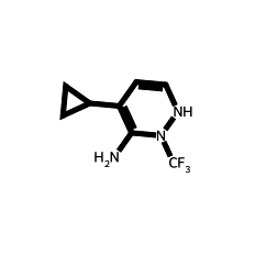 NC1=C(C2CC2)C=CNN1C(F)(F)F